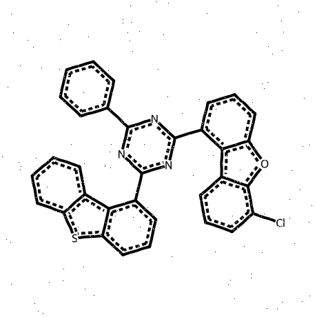 Clc1cccc2c1oc1cccc(-c3nc(-c4ccccc4)nc(-c4cccc5sc6ccccc6c45)n3)c12